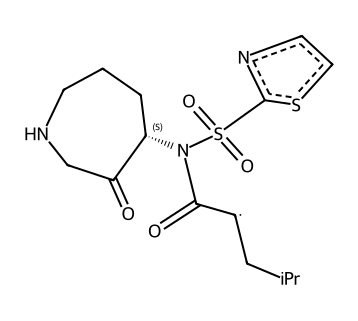 CC(C)C[CH]C(=O)N([C@H]1CCCNCC1=O)S(=O)(=O)c1nccs1